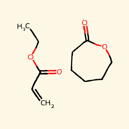 C=CC(=O)OCC.O=C1CCCCCO1